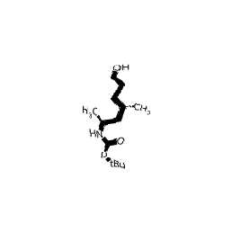 C[C@@H](CCCO)C[C@H](C)NC(=O)OC(C)(C)C